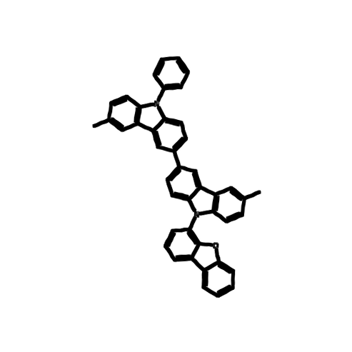 Cc1ccc2c(c1)c1cc(-c3ccc4c(c3)c3cc(C)ccc3n4-c3cccc4c3oc3ccccc34)ccc1n2-c1ccccc1